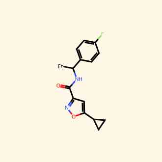 CCC(NC(=O)c1cc(C2CC2)on1)c1ccc(F)cc1